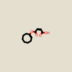 O=C(O)/C=C\C(=O)O/C1=C/CCCCCC1